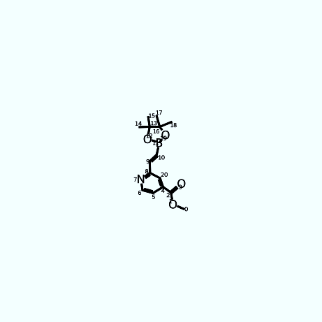 COC(=O)c1ccnc(C=CB2OC(C)(C)C(C)(C)O2)c1